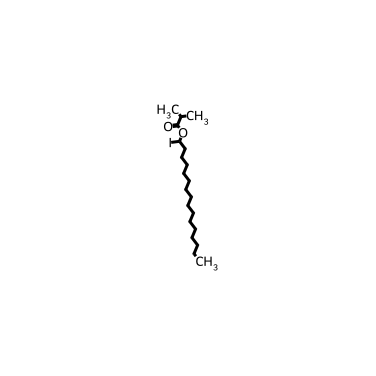 CCCCCCCCCCCCCCCC(I)OC(=O)C(C)C